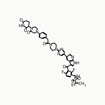 CCN(C)S(=O)(=O)Nc1ccc(F)c(C(=O)c2c[nH]c3ncc(-c4cnc(N5CCN(C(=O)Cc6ccc(N7CCN(C8CCC(=O)NC8=O)C(=O)C7)cc6)CC5)nc4)cc23)c1F